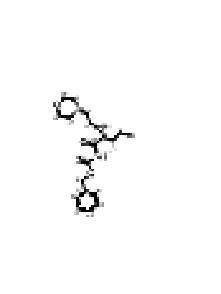 CC[C@H](C)[C@H](NCCN1CCOCC1)C(=O)NC(=O)OCc1ccccc1